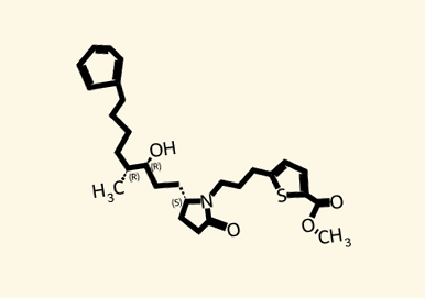 COC(=O)c1ccc(CCCN2C(=O)CC[C@@H]2CC[C@@H](O)[C@H](C)CCCCc2ccccc2)s1